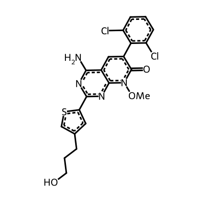 COn1c(=O)c(-c2c(Cl)cccc2Cl)cc2c(N)nc(-c3cc(CCCO)cs3)nc21